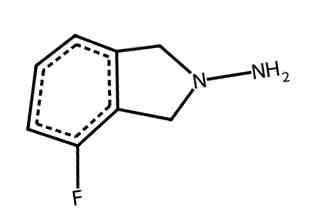 NN1Cc2cccc(F)c2C1